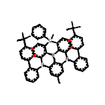 Cc1cc2c3c(c1)N(c1ccccc1-c1ccc(C(C)(C)C)cc1)c1cccc4c1B3c1c(cccc1[Si]4(C)c1ccccc1)N2c1ccccc1-c1ccc(C(C)(C)C)cc1